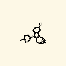 Cc1ccc(-n2c3c(c4cc(Cl)ccc42)C2CCC(C3)N2C)cn1